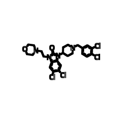 O=c1n(CCN2CCOCC2)c2cc(Cl)c(Cl)cc2n1C1CCN(Cc2ccc(Cl)c(Cl)c2)CC1